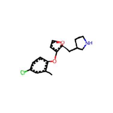 Cc1cc(Cl)ccc1Oc1ccoc1CC1CCNC1